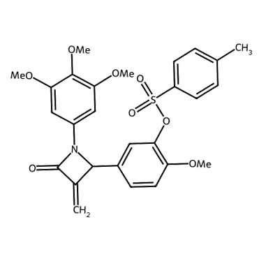 C=C1C(=O)N(c2cc(OC)c(OC)c(OC)c2)C1c1ccc(OC)c(OS(=O)(=O)c2ccc(C)cc2)c1